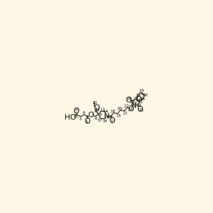 O=C(O)CCC(=O)OCC1(COI)CCN(C(=O)CCCCCON2C(=O)C3C4C=CC(O4)C3C2=O)CC1